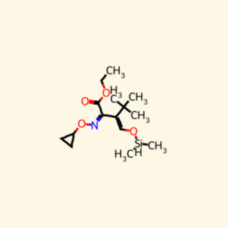 CCOC(=O)C(=NOC1CC1)C(=CO[SiH](C)C)C(C)(C)C